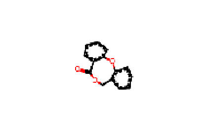 O=C1OCc2ccccc2Oc2ccccc21